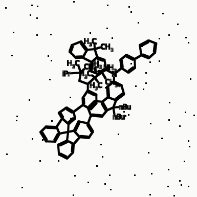 CCCCC1(CCCC)c2ccc(N(c3ccc(-c4ccccc4)cc3)c3ccc4c(c3)C(C)(C)c3ccccc3-4)cc2-c2ccc(-c3ccc4c(c3)C3(c5ccccc5-c5ccc(-c6cccc(C(CC(C)(C)C(C)C)C(C)(C)C(C)(C)N)c6)cc53)c3ccccc3-4)cc21